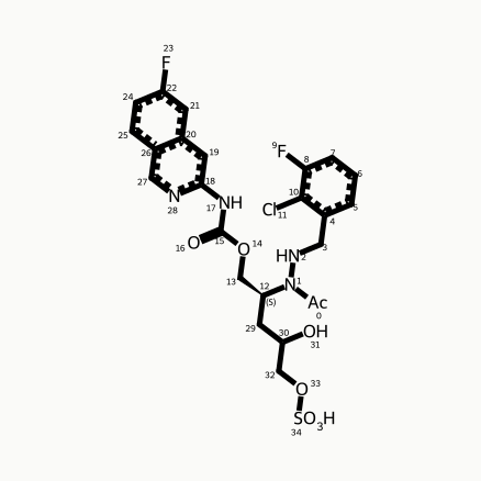 CC(=O)N(NCc1cccc(F)c1Cl)[C@H](COC(=O)Nc1cc2cc(F)ccc2cn1)CC(O)COS(=O)(=O)O